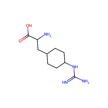 N=C(N)NC1CCC(CC(N)C(=O)O)CC1